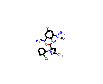 NCc1cc(Cl)cc(N(N)C=O)c1NC(=O)c1cc(C(F)(F)F)nn1-c1ccccc1Cl